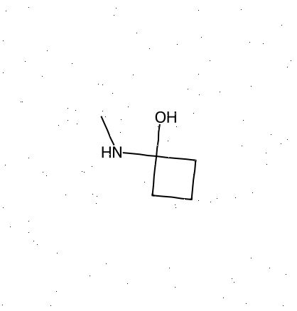 CNC1(O)CCC1